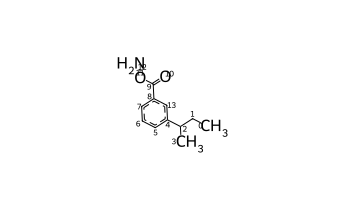 CCC(C)c1cccc(C(=O)ON)c1